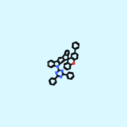 c1ccc(-c2ccc3c(c2)C2(c4ccccc4O3)c3ccccc3-c3cc4c5ccccc5n(-c5nc(-c6ccccc6)nc(-c6ccccc6)n5)c4cc32)cc1